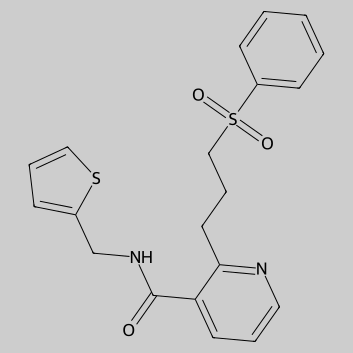 O=C(NCc1cccs1)c1cccnc1CCCS(=O)(=O)c1ccccc1